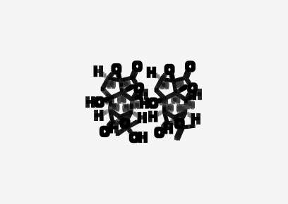 C=C(C)[C@@H]1[C@@H]2OC(=O)[C@H]1[C@]1(O)C[C@H]3O[C@]34C(=O)O[C@H]2[C@]14C.CC(C)(O)[C@@H]1[C@@H]2OC(=O)[C@H]1[C@]1(O)C[C@H]3O[C@]34C(=O)O[C@H]2[C@]14C